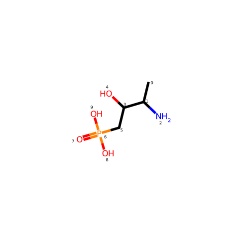 CC(N)C(O)CP(=O)(O)O